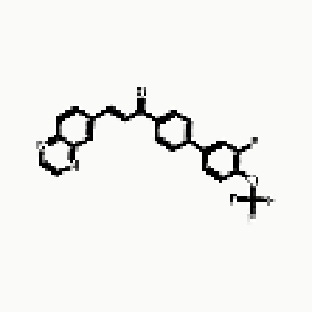 O=C(C=Cc1ccc2nccnc2c1)c1ccc(-c2ccc(OC(F)(F)F)c(F)c2)cc1